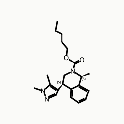 CCCCCOC(=O)N1C[C@H](c2cnn(C)c2C)c2ccccc2[C@@H]1C